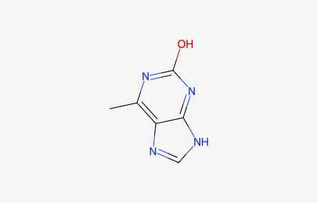 Cc1nc(O)nc2[nH]cnc12